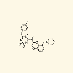 Cc1ccc(OC2=NS(=O)(=O)N=C(N(C)C3COc4cccc(CN5CCCCC5)c4O3)N2C)cc1